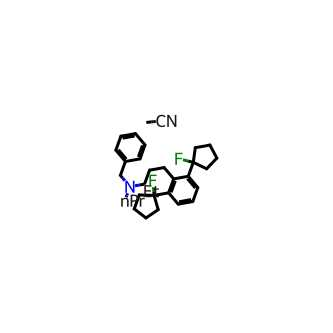 CC#N.CCCN(Cc1ccccc1)C(CC)CCc1c(C2(F)CCCC2)cccc1C1(F)CCCC1